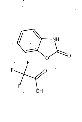 O=C(O)C(F)(F)F.O=c1[nH]c2ccccc2o1